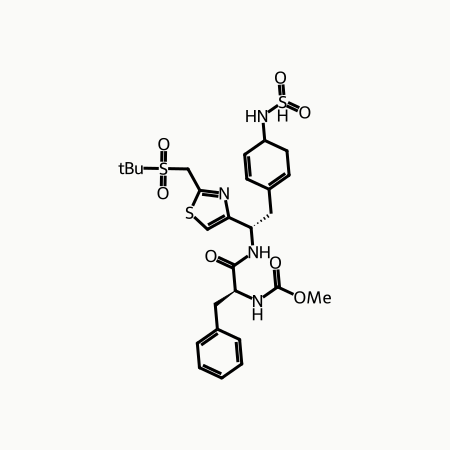 COC(=O)N[C@@H](Cc1ccccc1)C(=O)N[C@@H](CC1=CCC(N[SH](=O)=O)C=C1)c1csc(CS(=O)(=O)C(C)(C)C)n1